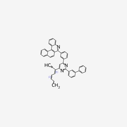 C#C/C(=C\C=C/C=C)c1cc(-c2cccc(-c3nc4ccccc4c4c3ccc3ccccc34)c2)nc(-c2cccc(-c3ccccc3)c2)n1